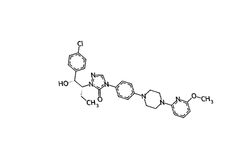 CC[C@H]([C@H](O)c1ccc(Cl)cc1)n1ncn(-c2ccc(N3CCN(c4cccc(OC)n4)CC3)cc2)c1=O